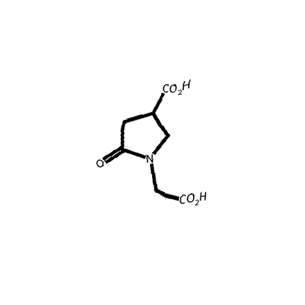 O=C(O)CN1CC(C(=O)O)CC1=O